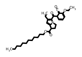 CCCCCCCCCCCCOC(=O)C1CCn2c1cc(CC)c2C(=O)C1C=CC=C(OCC)C1=C=O